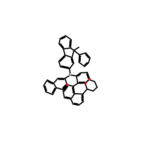 CC1(c2ccccc2)c2ccccc2-c2ccc(N(c3ccc4ccccc4c3)c3ccccc3-c3cccc4cccc(C5CCCCC5)c34)cc21